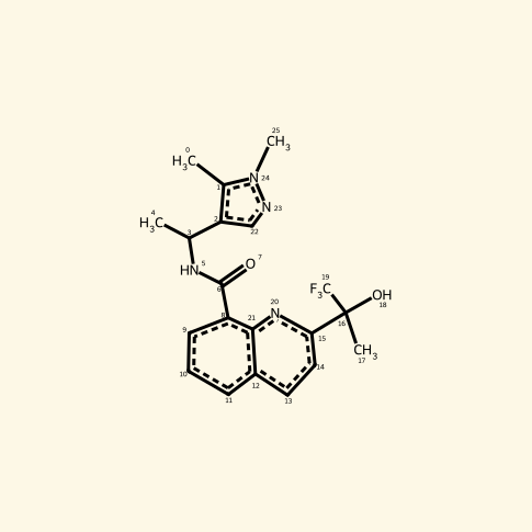 Cc1c(C(C)NC(=O)c2cccc3ccc(C(C)(O)C(F)(F)F)nc23)cnn1C